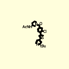 CC(=O)NC1CCCN(C(=O)c2ccc(-c3csc(-c4ccnc(C(C)(C)C)c4)c3)c(Cl)c2)C1